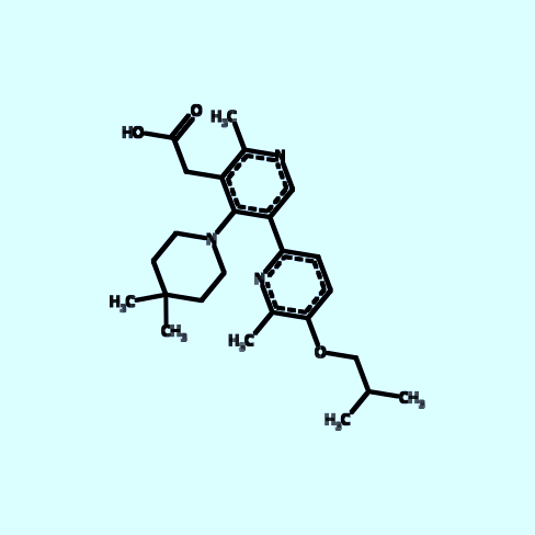 Cc1nc(-c2cnc(C)c(CC(=O)O)c2N2CCC(C)(C)CC2)ccc1OCC(C)C